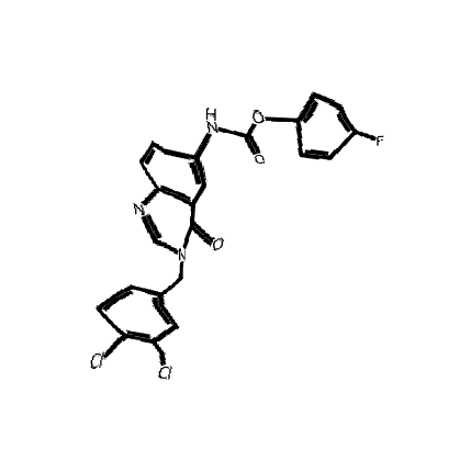 O=C(Nc1ccc2ncn(Cc3ccc(Cl)c(Cl)c3)c(=O)c2c1)Oc1ccc(F)cc1